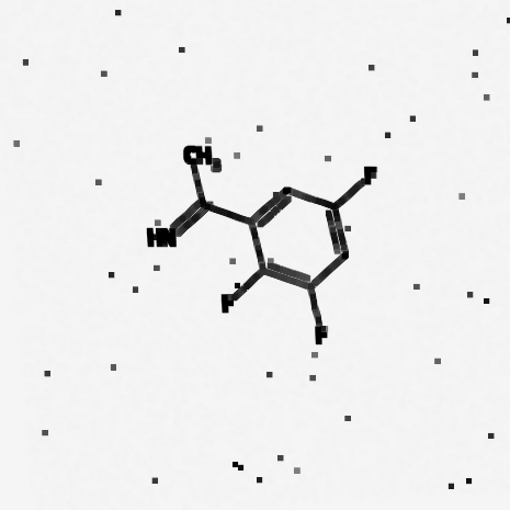 CC(=N)c1cc(F)cc(F)c1F